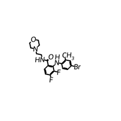 Cc1cc(Br)ccc1Nc1c(C(=O)NCCN2CCOCC2)ccc(F)c1F